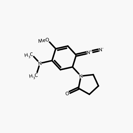 COC1=CC(=[N+]=[N-])C(N2CCCC2=O)C=C1N(C)C